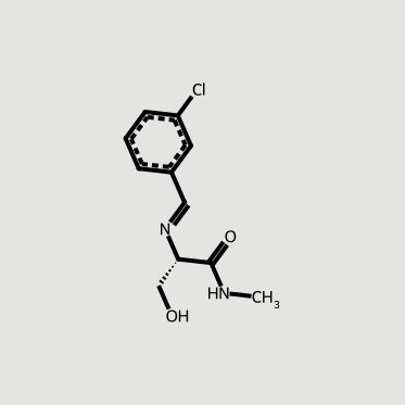 CNC(=O)[C@H](CO)/N=C/c1cccc(Cl)c1